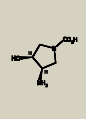 N[C@@H]1CN(C(=O)O)C[C@@H]1O